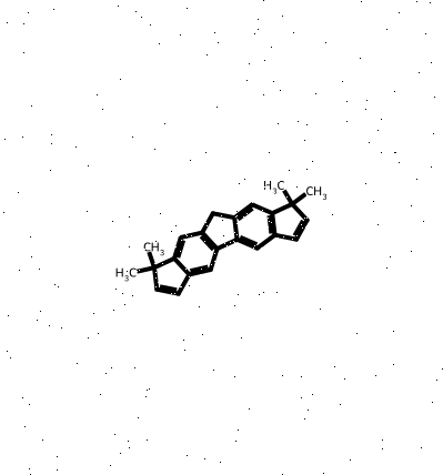 CC1(C)C=Cc2cc3c(cc21)Cc1cc2c(cc1-3)C=CC2(C)C